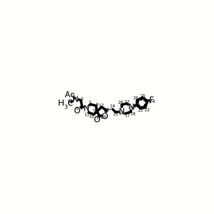 CC(=O)N(C)CC(=O)N1CCC2(CC1)C[C@H](CCN1CCN(c3ccc(F)cc3)CC1)OC2=O